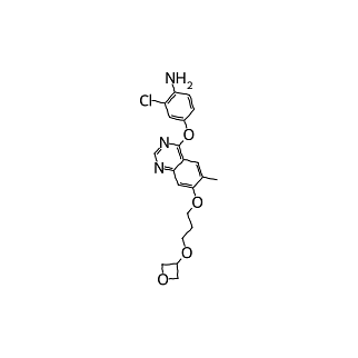 Cc1cc2c(Oc3ccc(N)c(Cl)c3)ncnc2cc1OCCCOC1COC1